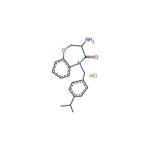 CC(C)c1ccc(CN2C(=O)C(N)COc3ccccc32)cc1.Cl